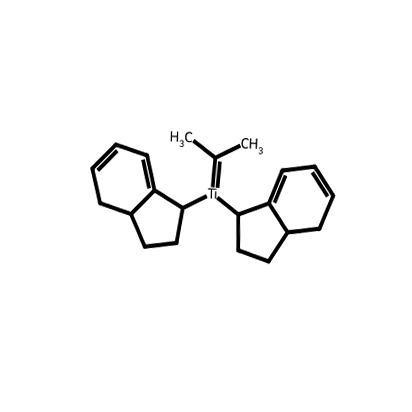 C[C](C)=[Ti]([CH]1CCC2CC=CC=C21)[CH]1CCC2CC=CC=C21